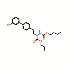 CCCCOC(=O)NC(CCc1ccc(-c2cccc(Cl)c2)cc1)C(=O)OCCC